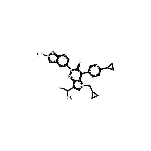 C[C@@H](O)c1cn(CC2CC2)c2c(-c3ccc(C4CC4)nc3)c(=O)n(-c3ccc4nn(C)cc4c3)nc12